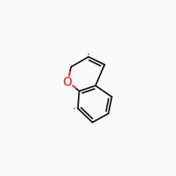 [C]1=Cc2ccc[c]c2OC1